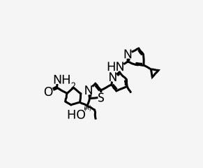 CC[C@](O)(c1ncc(-c2cc(C)cc(Nc3cc(C4CC4)ccn3)n2)s1)C1CCC(C(N)=O)CC1